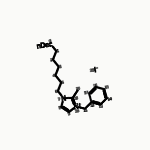 CCCCCCCCCCCCCCCCn1cc[n+](Cc2ccccc2)c1C.[I-]